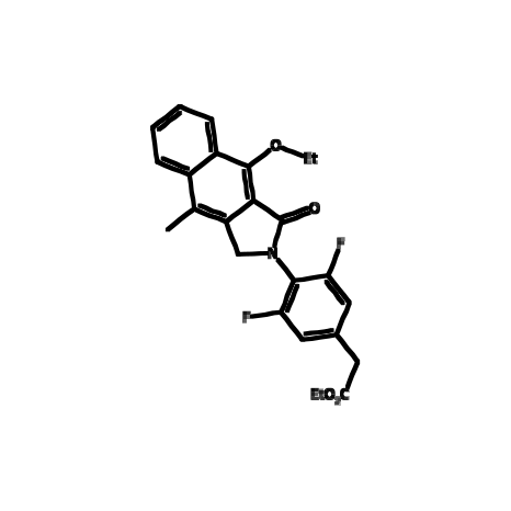 CCOC(=O)Cc1cc(F)c(N2Cc3c(c(OCC)c4ccccc4c3C)C2=O)c(F)c1